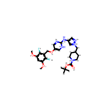 COc1cc(OC)c(F)c(COC2=CNC(Nc3cnn(CC4CCN(C(=O)OC(C)(C)C)CC4)c3)N=C2)c1F